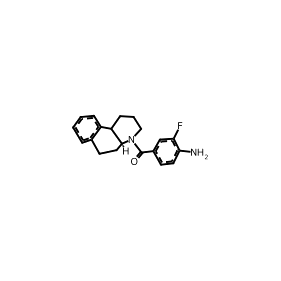 Nc1ccc(C(=O)N2CCCC3c4ccccc4CC[C@@H]32)cc1F